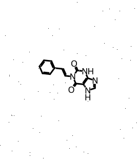 O=c1[nH]c2nc[nH]c2c(=O)n1/C=C/c1ccccc1